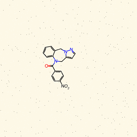 O=C(c1ccc([N+](=O)[O-])cc1)N1Cc2ccnn2Cc2ccccc21